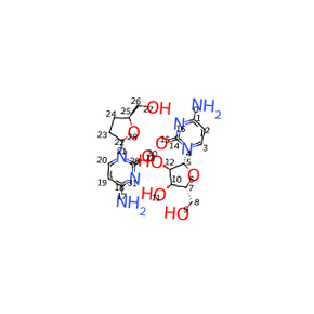 Nc1ccn([C@@H]2O[C@H](CO)[C@@H](O)[C@H]2O)c(=O)n1.Nc1ccn([C@H]2CC[C@@H](CO)O2)c(=O)n1